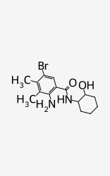 Cc1c(Br)cc(C(=O)NC2CCCCC2O)c(N)c1C